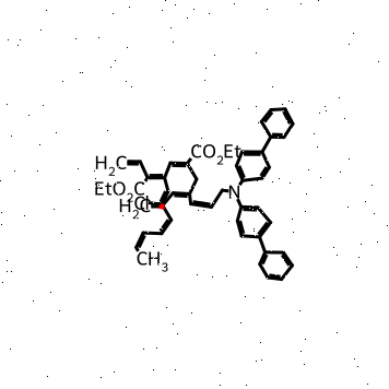 C=C/C=C(\C=C/CN(c1ccc(-c2ccccc2)cc1)c1ccc(-c2ccccc2)cc1)C\C(=C/C(/C=C(Cl)/C=C\C=C/C)=C(\C=C)C(=O)OCC)C(=O)OCC